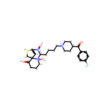 O=C(c1ccc(F)cc1)C1CCN(CCCCC2[N+](=O)C3=CC4(CS3)C(=O)CCC[N+]24[O-])CC1